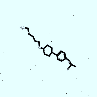 CCCCCCOC1CCC(c2ccc(C=C(F)F)cc2)CC1